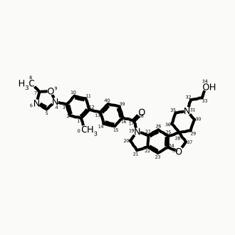 Cc1cc(N2C=NC(C)O2)ccc1-c1ccc(C(=O)N2CCc3cc4c(cc32)C2(CCN(CCO)CC2)CO4)cc1